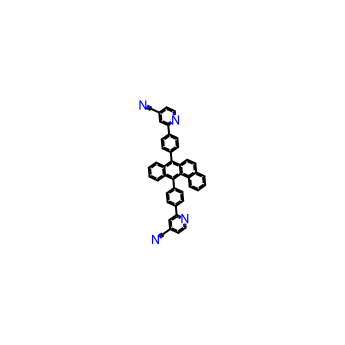 N#Cc1ccnc(-c2ccc(-c3c4ccccc4c(-c4ccc(-c5cc(C#N)ccn5)cc4)c4c3ccc3ccccc34)cc2)c1